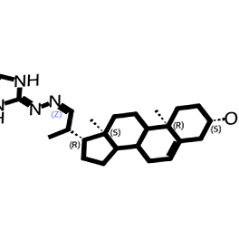 CC(/C=N\N=C1NCCN1)[C@H]1CCC2C3CC=C4C[C@@H](O)CC[C@]4(C)C3CC[C@@]21C